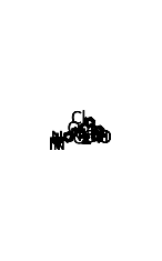 CC(C)n1cc(-c2ccc(Cl)c(CC(NC(=O)C3(O)CC3)C(=O)Nc3ccc(-c4nncn4C)cc3)c2)ccc1=O